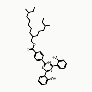 CCC(C)CCCCCC(CCCC(C)CC)COC(=O)c1ccc(-c2nc(-c3ccccc3O)nc(-c3ccccc3O)n2)cc1